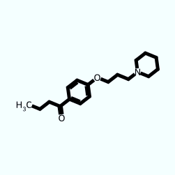 CCCC(=O)c1ccc(OCCCN2CCCCC2)cc1